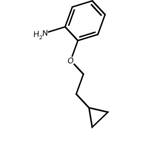 Nc1ccccc1OCCC1CC1